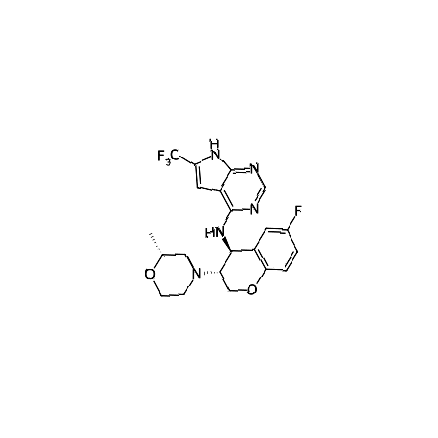 C[C@@H]1CN([C@H]2COc3ccc(F)cc3[C@@H]2Nc2ncnc3[nH]c(C(F)(F)F)cc23)CCO1